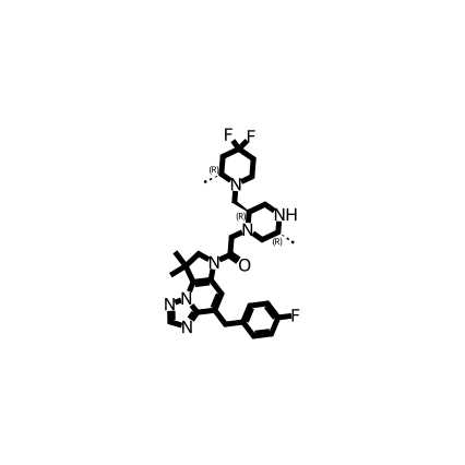 C[C@@H]1CN(CC(=O)N2CC(C)(C)c3c2cc(Cc2ccc(F)cc2)c2ncnn32)[C@@H](CN2CCC(F)(F)C[C@H]2C)CN1